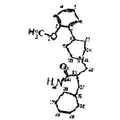 COc1ccccc1C1CCN(CC(CC2CCCCC2)C(N)=O)CC1